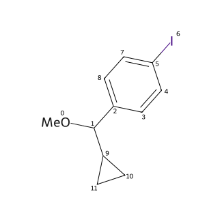 COC(c1ccc(I)cc1)C1CC1